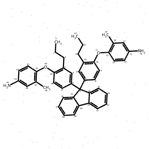 CCCc1cc(C2(c3ccc(Oc4ccc(N)cc4C)c(CCC)c3)c3ccccc3-c3ccccc32)ccc1Oc1ccc(N)cc1C